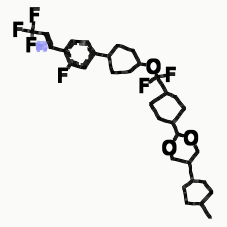 CC1CCC(C2COC(C3CCC(C(F)(F)OC4CCC(c5ccc(/C=C/C(F)(F)F)c(F)c5)CC4)CC3)OC2)CC1